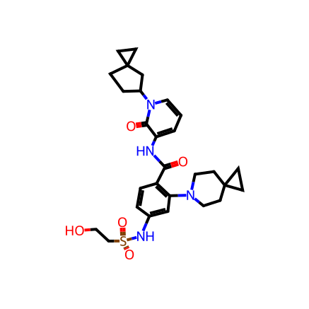 O=C(Nc1cccn(C2CCC3(CC3)C2)c1=O)c1ccc(NS(=O)(=O)CCO)cc1N1CCC2(CC1)CC2